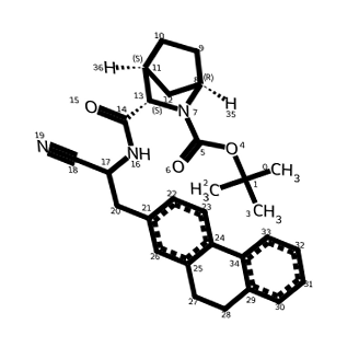 CC(C)(C)OC(=O)N1[C@@H]2CC[C@@H](C2)[C@H]1C(=O)NC(C#N)Cc1ccc2c(c1)CCc1ccccc1-2